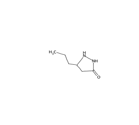 CCC[C]1CC(=O)NN1